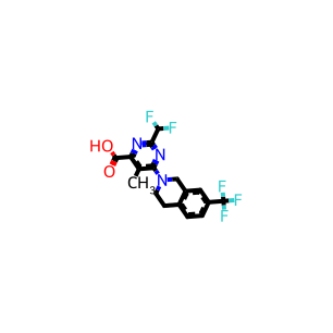 Cc1c(C(=O)O)nc(C(F)F)nc1N1CCc2ccc(C(F)(F)F)cc2C1